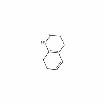 [C]1CCC2=C(CCC=C2)N1